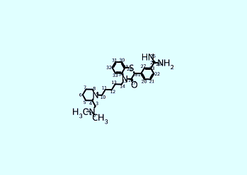 CN(C)CC1CCCCN1CCCCCN1C(=O)C(c2cccc(C(=N)N)c2)Sc2ccccc21